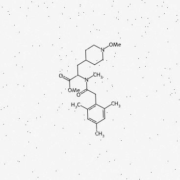 COC(=O)C(CC1CCN(OC)CC1)N(C)C(=O)Cc1c(C)cc(C)cc1C